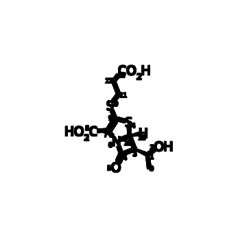 CC(O)[C@H]1C(=O)N2C(C(=O)O)=C(SCCC(=O)O)S[C@H]12